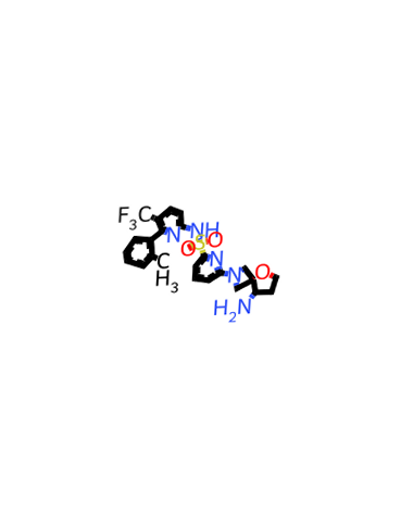 Cc1ccccc1-c1nc(NS(=O)(=O)c2cccc(N3CC4(C3)OCCC4N)n2)ccc1C(F)(F)F